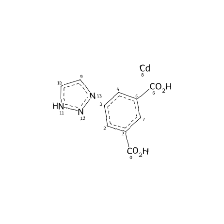 O=C(O)c1cccc(C(=O)O)c1.[Cd].c1c[nH]nn1